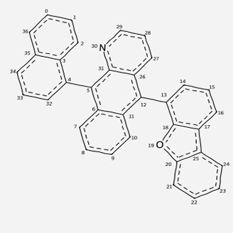 c1ccc2c(-c3c4ccccc4c(-c4cccc5c4oc4ccccc45)c4cccnc34)cccc2c1